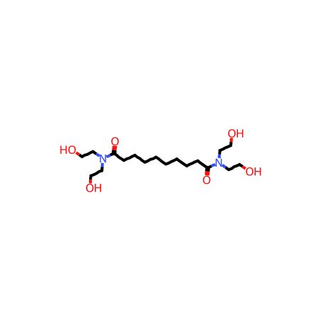 O=C(CCCCCCCCC(=O)N(CCO)CCO)N(CCO)CCO